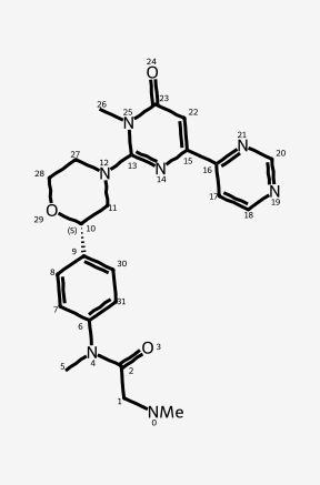 CNCC(=O)N(C)c1ccc([C@H]2CN(c3nc(-c4ccncn4)cc(=O)n3C)CCO2)cc1